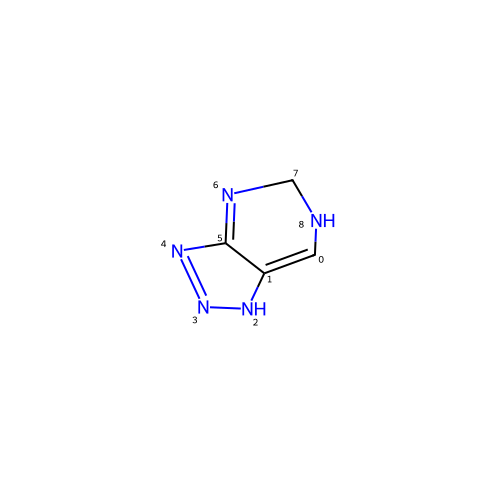 C1=c2[nH]nnc2=NCN1